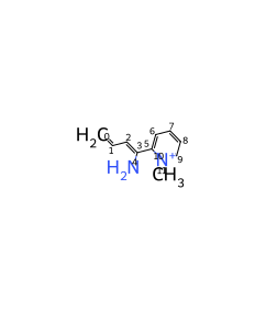 C=C/C=C(\N)c1cccc[n+]1C